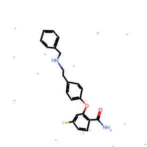 NC(=O)c1ccc(F)cc1Oc1ccc(CCNCc2ccccc2)cc1